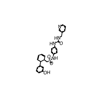 O=C(NCc1cccnc1)Nc1ccc(NS(=O)(=O)CC2C=CC=CC2c2cccc(O)c2)cc1